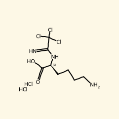 Cl.Cl.N=C(N[C@@H](CCCCN)C(=O)O)C(Cl)(Cl)Cl